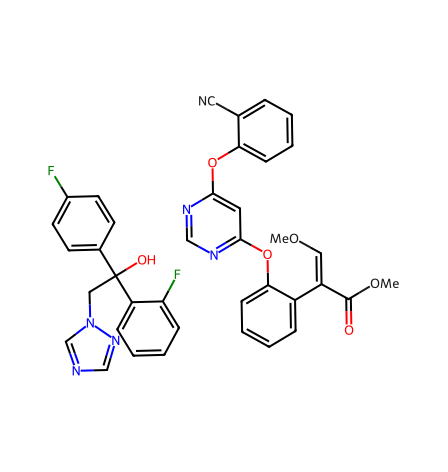 CO/C=C(/C(=O)OC)c1ccccc1Oc1cc(Oc2ccccc2C#N)ncn1.OC(Cn1cncn1)(c1ccc(F)cc1)c1ccccc1F